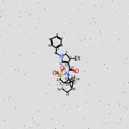 CC[C@@H]1CN(Cc2ccccc2)C=C1C(=O)N1[C@H]2CC3CC[C@@]2(CS1(=O)=O)C3(C)C